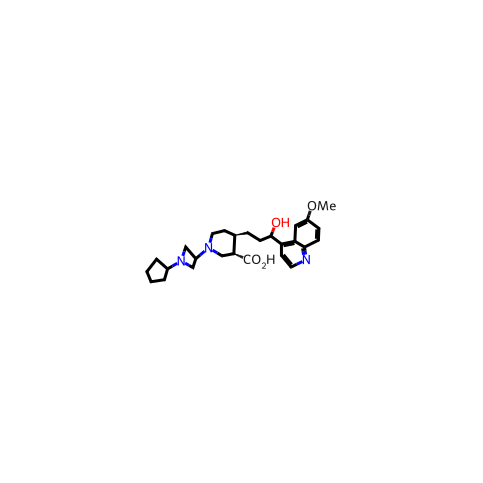 COc1ccc2nccc(C(O)CC[C@@H]3CCN(C4CN(C5CCCC5)C4)C[C@@H]3C(=O)O)c2c1